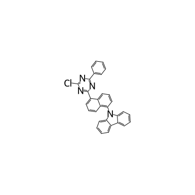 Clc1nc(-c2ccccc2)nc(-c2cccc3c(-n4c5ccccc5c5ccccc54)cccc23)n1